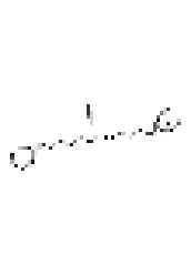 [I-].[I-].c1cc[n+](CCCCCCCCCCCC[n+]2ccccc2)cc1